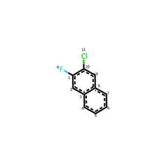 Fc1cc2ccccc2[c]c1Cl